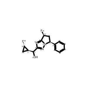 OC(c1nc2n(n1)[C@H](c1ccccc1)C[C@@H]2F)[C@H]1C[C@@H]1F